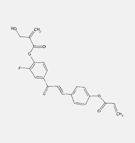 C=CC(=O)Oc1ccc(/C=C/C(=O)c2ccc(OC(=O)C(=C)CO)c(F)c2)cc1